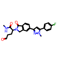 CNC(=O)C(CCC=O)N1Cc2cc(-c3cc(-c4ccc(F)cc4)n(C)n3)ccc2C1=O